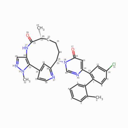 Cc1ccccc1-c1ccc(Cl)cc1-c1cc(=O)n([C@H]2CCC[C@@H](C)C(=O)Nc3cnn(C)c3-c3ccnc2c3)cn1